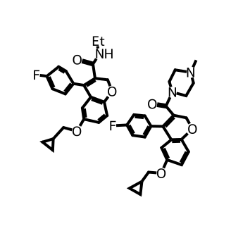 CCNC(=O)C1=C(c2ccc(F)cc2)c2cc(OCC3CC3)ccc2OC1.CN1CCN(C(=O)C2=C(c3ccc(F)cc3)c3cc(OCC4CC4)ccc3OC2)CC1